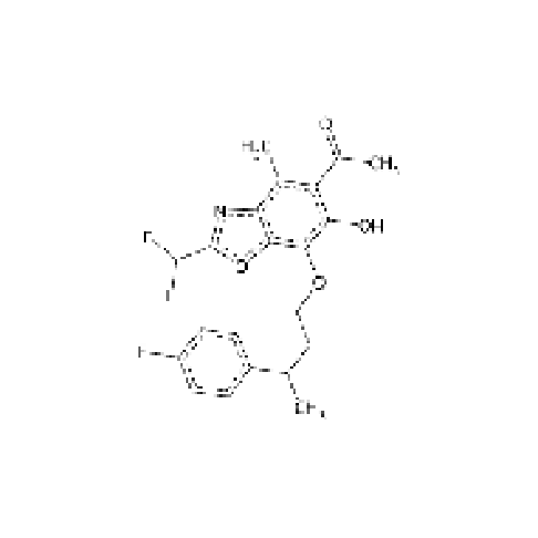 CC(=O)c1c(O)c(OCCC(C)c2ccc(F)cc2)c2oc(C(F)F)nc2c1C